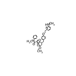 CCOC(=O)CC(Cc1ccc(OCCc2cccc(NC)n2)cc1)c1nc(C(=O)N(C)c2ccccc2)co1